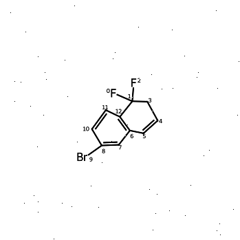 FC1(F)CC=Cc2cc(Br)ccc21